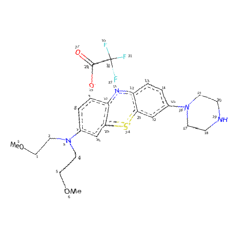 COCCN(CCOC)c1ccc2nc3ccc(N4CCNCC4)cc3[s+]c2c1.O=C([O-])C(F)(F)F